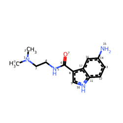 CN(C)CCNC(=O)c1c[nH]c2ccc(N)cc12